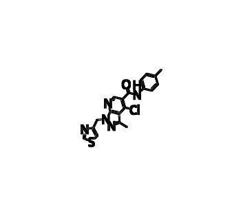 Cc1ccc(NC(=O)c2cnc3c(c(C)nn3Cc3cscn3)c2Cl)cc1